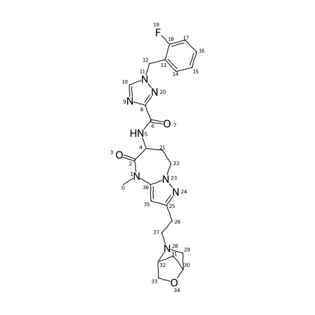 CN1C(=O)C(NC(=O)c2ncn(Cc3ccccc3F)n2)CCn2nc(CCN3CC4CC3CO4)cc21